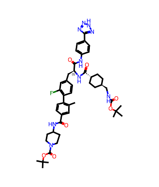 Cc1cc(C(=O)NC2CCN(C(=O)OC(C)(C)C)CC2)ccc1-c1ccc(C[C@H](NC(=O)[C@H]2CC[C@H](CNC(=O)OC(C)(C)C)CC2)C(=O)Nc2ccc(-c3nn[nH]n3)cc2)cc1F